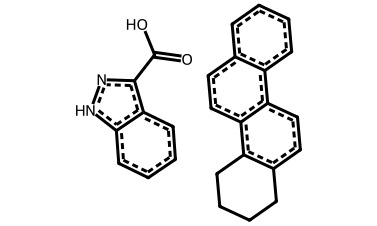 O=C(O)c1n[nH]c2ccccc12.c1ccc2c(c1)ccc1c3c(ccc12)CCCC3